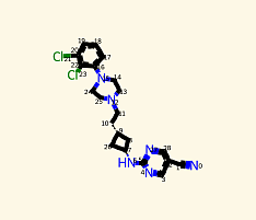 N#Cc1cnc(N[C@H]2C[C@@H](CCN3CCN(c4cccc(Cl)c4Cl)CC3)C2)nc1